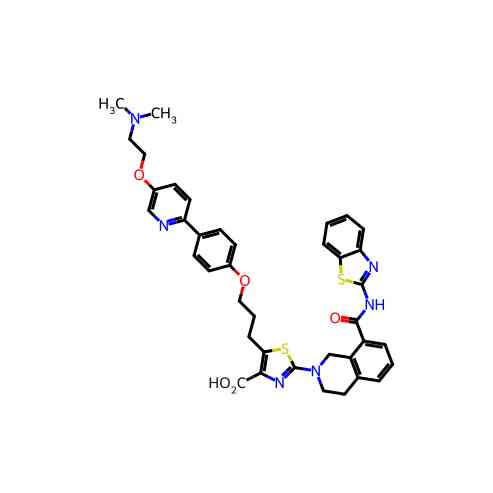 CN(C)CCOc1ccc(-c2ccc(OCCCc3sc(N4CCc5cccc(C(=O)Nc6nc7ccccc7s6)c5C4)nc3C(=O)O)cc2)nc1